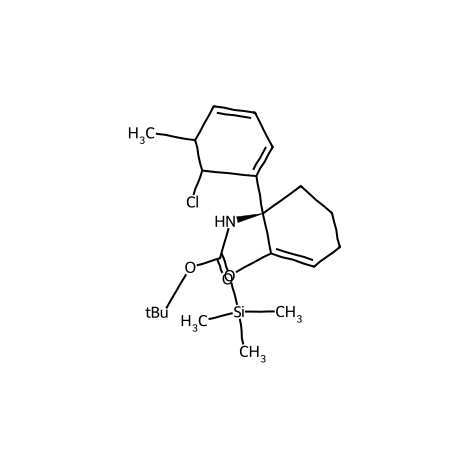 CC1C=CC=C([C@]2(NC(=O)OC(C)(C)C)CCCC=C2O[Si](C)(C)C)C1Cl